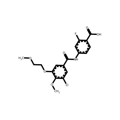 COCCOc1cc(C(=O)Nc2ccc(C(=O)O)c(F)c2)cc(Cl)c1OC